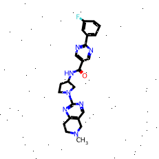 CN1CCc2nc(N3CCC(NC(=O)c4cnc(-c5cccc(F)c5)nc4)C3)ncc2C1